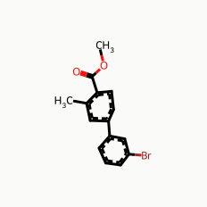 COC(=O)c1ccc(-c2cccc(Br)c2)cc1C